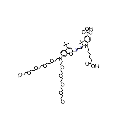 COCCOCCOCCOCCOCCN(CCOCCOCCOCCOCCOC)c1ccc2c(c1)OC(/C=C/C=C1/N(CCCCCC(=O)O)c3ccc(S(=O)(=O)O)cc3C1(C)C)C=C2C(C)(C)C